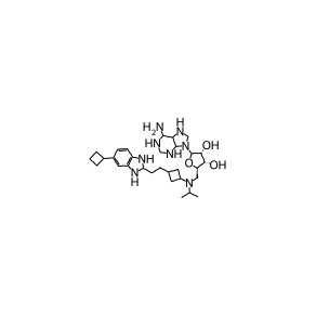 CC(C)N(C[C@H]1O[C@@H](N2CNC3C(N)NCNC32)[C@H](O)[C@@H]1O)C1CC(CCC2Nc3ccc(C4CCC4)cc3N2)C1